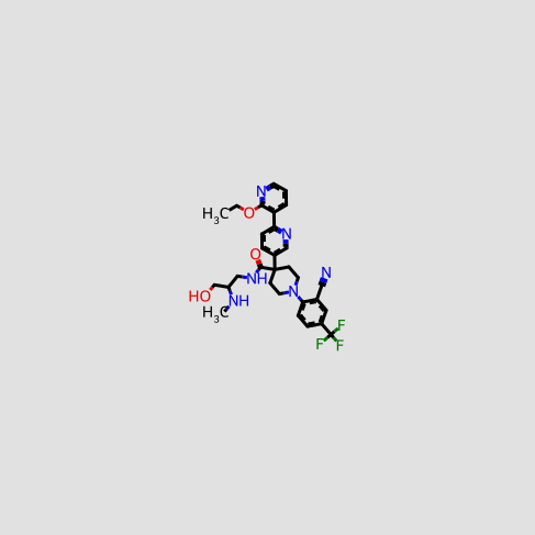 CCOc1ncccc1-c1ccc(C2(C(=O)NCC(CO)NC)CCN(c3ccc(C(F)(F)F)cc3C#N)CC2)cn1